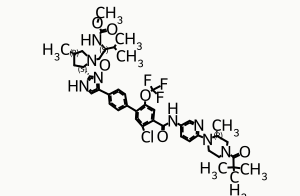 COC(=O)N[C@H](C(=O)N1C[C@H](C)C[C@H]1c1nc(-c2ccc(-c3cc(Cl)c(C(=O)Nc4ccc(N5CCN(C(=O)C(C)(C)C)C[C@H]5C)nc4)cc3OC(F)(F)F)cc2)c[nH]1)C(C)C